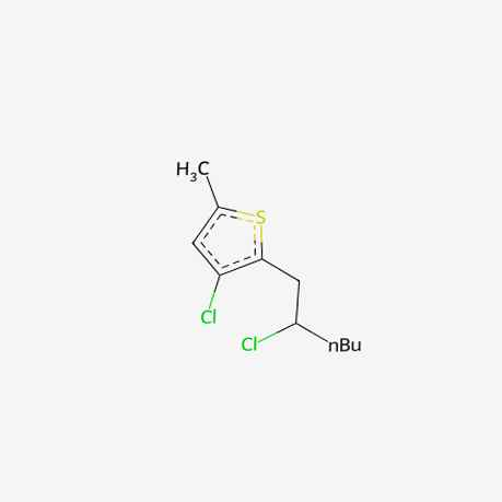 CCCCC(Cl)Cc1sc(C)cc1Cl